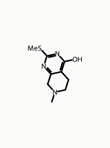 CSc1nc(O)c2c(n1)CN(C)CC2